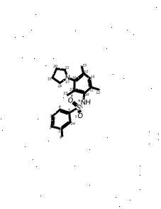 Cc1cccc(S(=O)(=O)Nc2c(C)cc(C)c(N3CCCC3)c2C)c1